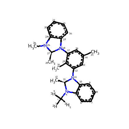 [2H]C([2H])([2H])N1c2ccccc2N(c2cc(C)cc(N3c4ccccc4N(C)[C@@H]3C)c2C)[C@@H]1C